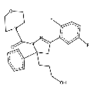 O=C(N1CCOCC1)N1N=C(c2cc(F)ccc2F)CC1(CCCO)c1ccccc1